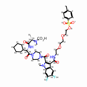 Cc1ccc(S(=O)(=O)OCCOCCOCCNC(=O)c2c(C(=O)N3CCN(C(=O)[C@@H](NC(=O)[C@H](C)N(C)C(=O)O)C4CCCCC4)CC3)n(C)c3cc(F)c(F)cc23)cc1